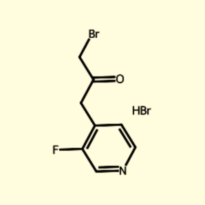 Br.O=C(CBr)Cc1ccncc1F